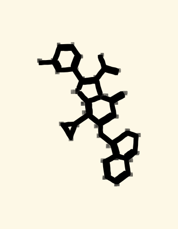 C=C(C)C1=C(c2cccc(C)c2)SC2=C(C3CC3)C(CC3=c4ccccc4=CCC3)=CC(=C)N21